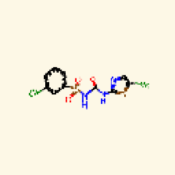 O=C(Nc1ncc(Br)s1)NS(=O)(=O)c1cccc(Cl)c1